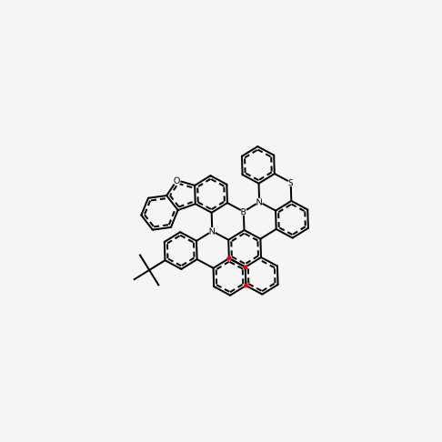 CC(C)(C)c1ccc(N2c3cc4ccccc4c4c3B(c3ccc5oc6ccccc6c5c32)N2c3ccccc3Sc3cccc-4c32)c(-c2ccccc2)c1